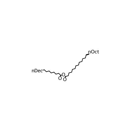 CCCCCCCCC=CCCCCCCCCCCCC(=O)OC(=O)CCCCCCCCCCCCCCCCC